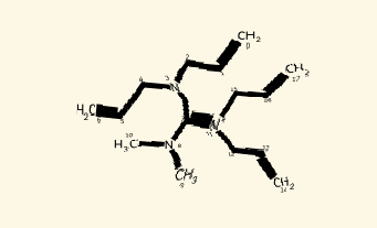 C=CCN(CC=C)C(N(C)C)=[N+](CC=C)CC=C